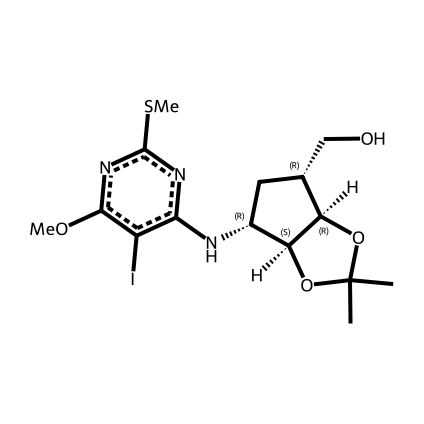 COc1nc(SC)nc(N[C@@H]2C[C@H](CO)[C@H]3OC(C)(C)O[C@H]32)c1I